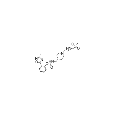 Cc1noc(-c2ccccc2OC(=O)NCC2CCN(CCNCS(C)(=O)=O)CC2)n1